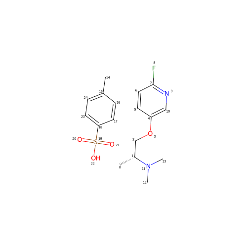 C[C@H](COc1ccc(F)nc1)N(C)C.Cc1ccc(S(=O)(=O)O)cc1